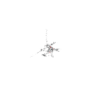 CCCCCCCCCCCCCCCC(=O)NCCCCC(NC(=O)CCCCCCCCCCCCCCC)C(=O)NC(CCCCN)C(=O)NC(CCCNC(=N)N)C(=O)NC(CCCCN)C(=O)NC(CCCNC(=N)N)C(N)=O